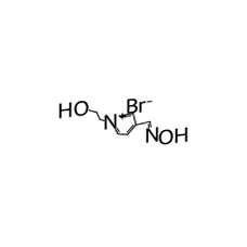 OCC[n+]1ccc(C=NO)cc1.[Br-]